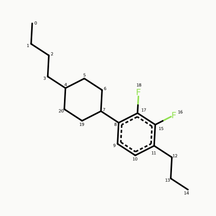 CCCCC1CCC(c2ccc(CCC)c(F)c2F)CC1